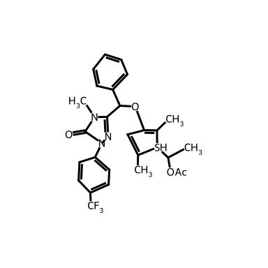 CC(=O)OC(C)[SH]1C(C)=CC(OC(c2ccccc2)c2nn(-c3ccc(C(F)(F)F)cc3)c(=O)n2C)=C1C